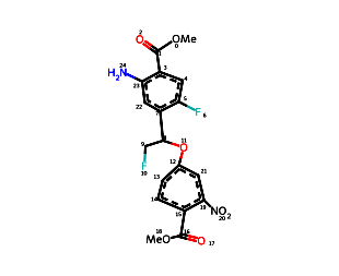 COC(=O)c1cc(F)c(C(CF)Oc2ccc(C(=O)OC)c([N+](=O)[O-])c2)cc1N